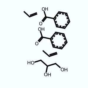 C=CC.C=CC.O=C(O)c1ccccc1.O=C(O)c1ccccc1.OCC(O)CO